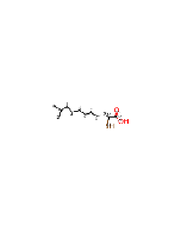 CC(C)CCCCCCCC(S)C(=O)O